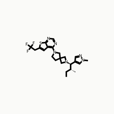 CC[C@@H](C)[C@H](c1cnn(C)c1)N1CC2(CCN(c3ncnc4sc(CC(F)(F)F)cc34)C2)C1